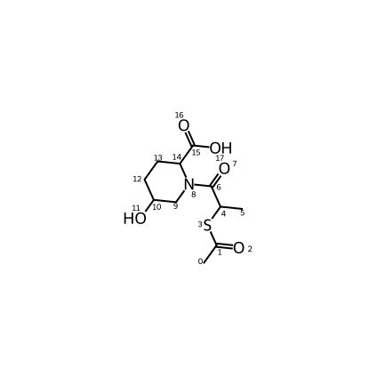 CC(=O)SC(C)C(=O)N1CC(O)CCC1C(=O)O